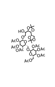 CC(=O)OC[C@H]1O[C@@H](OC[C@H]2O[C@@H](OC[C@@H](O)[C@H]3OC(C)(C)O[C@@H]3[C@H]3COC(C)(C)O3)[C@H](OC(C)=O)[C@@H](OC(C)=O)[C@@H]2OC(C)=O)[C@H](OC(C)=O)[C@@H](OC(C)=O)[C@@H]1OC(C)=O